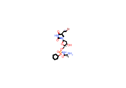 C[C@H](N)C(=O)NP(=O)(OC[C@H]1O[C@@H](n2cc(/C=C/Br)c(=O)[nH]c2=O)C[C@@H]1O)Oc1ccccc1